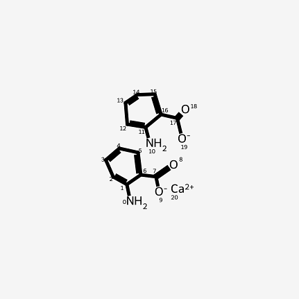 Nc1ccccc1C(=O)[O-].Nc1ccccc1C(=O)[O-].[Ca+2]